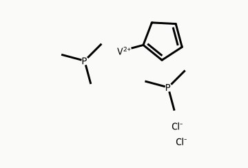 CP(C)C.CP(C)C.[Cl-].[Cl-].[V+2][C]1=CC=CC1